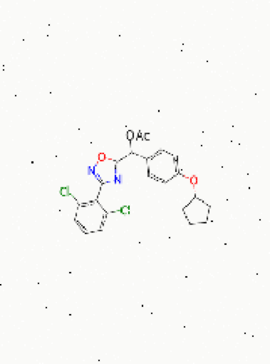 CC(=O)OC(c1ccc(OC2CCCC2)cc1)c1nc(-c2c(Cl)cccc2Cl)no1